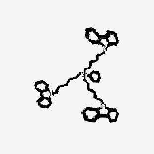 c1cc[c]([Sn]([CH2]CCCCCn2c3ccccc3c3ccccc32)([CH2]CCCCCn2c3ccccc3c3ccccc32)[CH2]CCCCCn2c3ccccc3c3ccccc32)cc1